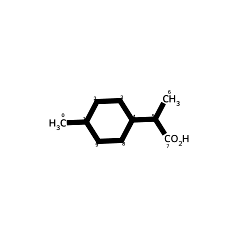 CC1CCC(C(C)C(=O)O)CC1